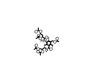 CC(=O)OCCC(OC(C)=O)C(=O)Nc1c(I)c(COC(C)=O)c(I)c(C(=O)N(C)CC(COC(C)=O)OC(C)=O)c1I